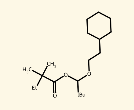 CCC(C)(C)C(=O)OC(OCCC1CCCCC1)C(C)(C)C